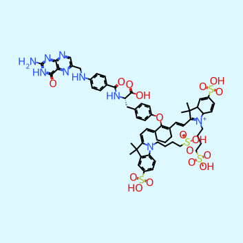 CC1(C)/C(=C/C=C2\CCCC(/C=C/C3=[N+](CCCCS(=O)(=O)O)C4C=CC(S(=O)(=O)O)=CC4C3(C)C)=C2Oc2ccc(C[C@H](NC(=O)c3ccc(NCc4cnc5nc(N)[nH]c(=O)c5n4)cc3)C(=O)O)cc2)N(CCCCS(=O)(=O)O)c2ccc(S(=O)(=O)O)cc21